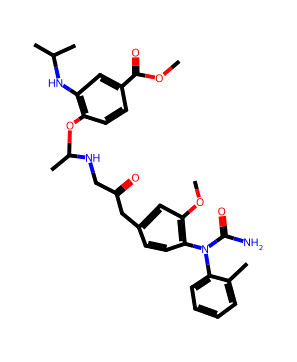 COC(=O)c1ccc(OC(C)NCC(=O)Cc2ccc(N(C(N)=O)c3ccccc3C)c(OC)c2)c(NC(C)C)c1